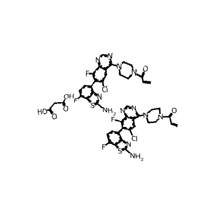 C=CC(=O)N1CCN(c2ncnc3c(F)c(-c4ccc(F)c5sc(N)nc45)c(Cl)cc23)CC1.C=CC(=O)N1CCN(c2ncnc3c(F)c(-c4ccc(F)c5sc(N)nc45)c(Cl)cc23)CC1.O=C(O)CC(=O)O